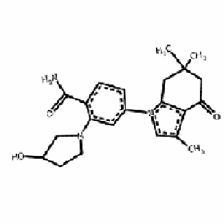 Cc1cn(-c2ccc(C(N)=O)c(N3CCC(O)C3)c2)c2c1C(=O)CC(C)(C)C2